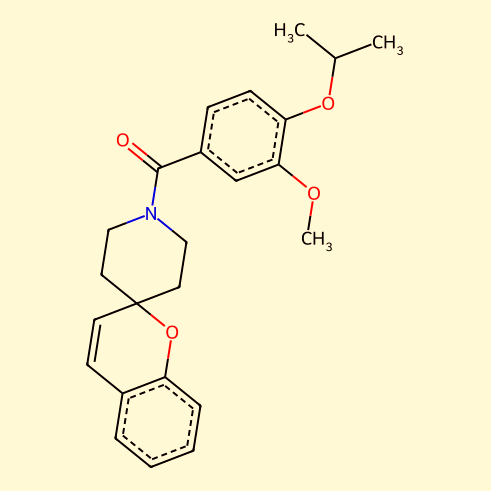 COc1cc(C(=O)N2CCC3(C=Cc4ccccc4O3)CC2)ccc1OC(C)C